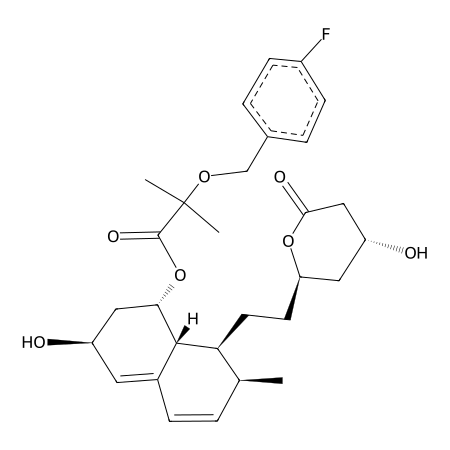 C[C@H]1C=CC2=C[C@@H](O)C[C@H](OC(=O)C(C)(C)OCc3ccc(F)cc3)[C@@H]2[C@H]1CC[C@@H]1C[C@@H](O)CC(=O)O1